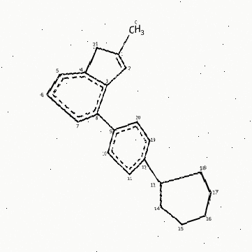 CC1=Cc2c(cccc2-c2ccc(C3CCCCC3)cc2)[CH]1